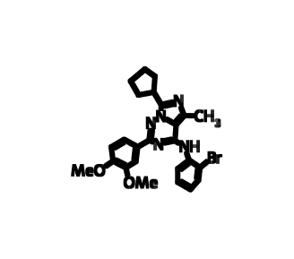 COc1ccc(-c2nc(Nc3ccccc3Br)c3c(C)nc(C4CCCC4)n3n2)cc1OC